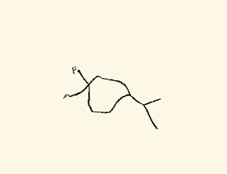 CC(C)C1CCC(F)(F)CC1